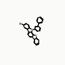 Brc1ccc2c(c1)c1ccc3c4ccccc4sc3c1n2-c1cccc(-c2ccccc2)c1